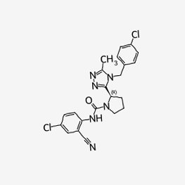 Cc1nnc([C@H]2CCCN2C(=O)Nc2ccc(Cl)cc2C#N)n1Cc1ccc(Cl)cc1